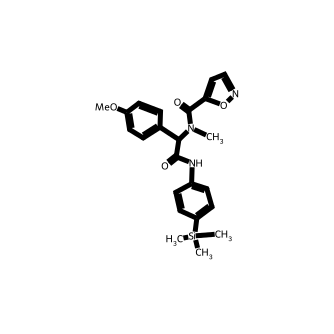 COc1ccc(C(C(=O)Nc2ccc([Si](C)(C)C)cc2)N(C)C(=O)c2ccno2)cc1